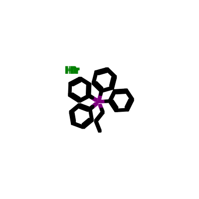 Br.CCCP(c1ccccc1)(c1ccccc1)(c1ccccc1)c1ccccc1